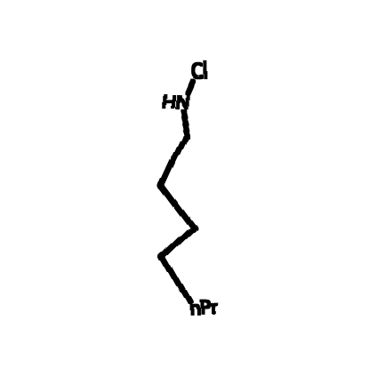 CCCCCCCNCl